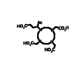 CC(=O)C(CCC(=O)O)N1CCN(CC(=O)O)CCN(CC(=O)O)CCN(CC(=O)O)CC1